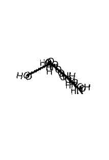 CN[C@@H](CCCCNC(=O)COCCOCCNC(=O)COCCOCCNC(=O)CC[C@H](NC(=O)CCCCCCCCCCCCCCCCC(=O)O)C(=O)O)C(=O)O